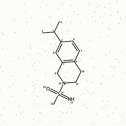 CC(C)c1ccc2c(c1)CN(S(C)(=N)=O)CC2